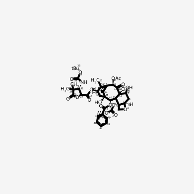 COC(=O)O[C@@]12CO[C@@H]1CC(O)[C@@]1(C)C(=O)[C@H](OC(C)=O)C3=C(C)[C@H](OC(=O)C4OC(=O)C(C)(C)[C@@H]4NC(=O)OC(C)(C)C)C[C@@](O)([C@@H](OC(=O)c4ccccc4)C12)C3(C)C